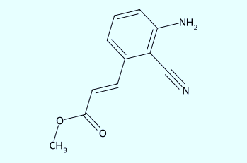 COC(=O)C=Cc1cccc(N)c1C#N